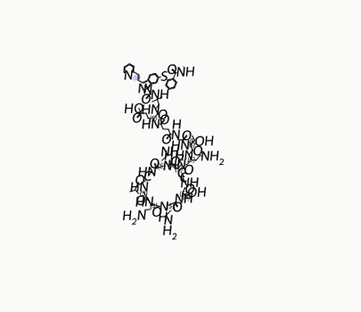 CNC(=O)c1ccccc1Sc1ccc2c(/C=C/c3ccccn3)nn(C(=O)NC(C)(C)CNC(=O)[C@H](CCC(=O)O)NC(=O)CCC(=O)NCC(=O)N[C@H](C(=O)N[C@@H](CCN)C(=O)N[C@H]3CCNC(=O)[C@H]([C@@H](C)O)NC(=O)[C@H](CCN)NC(=O)[C@H](CCN)NC(=O)[C@H](CC(C)C)NC(=O)CNC(=O)[C@H](CCN)NC3=O)[C@@H](C)O)c2c1